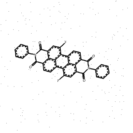 O=C1c2ccc3c4c(F)cc5c6c(ccc(c7c(F)cc(c2c37)C(=O)N1c1ccccc1)c64)C(=O)N(c1ccccc1)C5=O